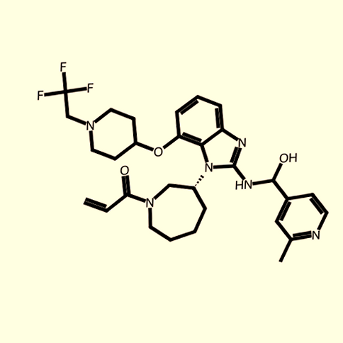 C=CC(=O)N1CCCC[C@@H](n2c(NC(O)c3ccnc(C)c3)nc3cccc(OC4CCN(CC(F)(F)F)CC4)c32)C1